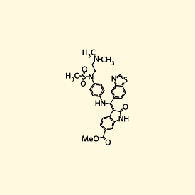 COC(=O)c1ccc2c(c1)NC(=O)C2=C(Nc1ccc(N(CCN(C)C)S(C)(=O)=O)cc1)c1ccc2scnc2c1